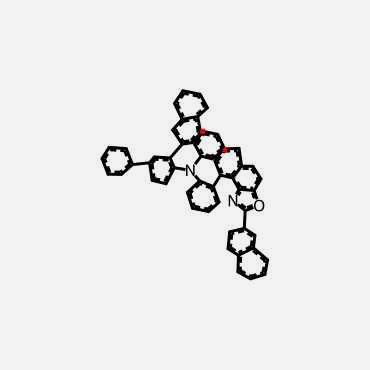 c1ccc(-c2ccc(N(c3ccccc3)c3ccccc3-c3cccc4ccc5oc(-c6ccc7ccccc7c6)nc5c34)c(-c3ccc4ccccc4c3)c2)cc1